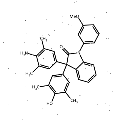 COc1cccc(N2C(=O)C(c3cc(C)c(N)c(C)c3)(c3cc(C)c(O)c(C)c3)c3ccccc32)c1